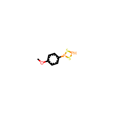 COc1ccc(P2SPS2)cc1